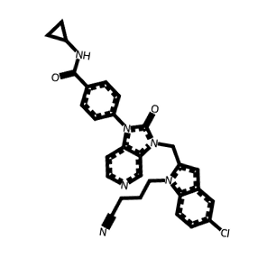 N#CCCCn1c(Cn2c(=O)n(-c3ccc(C(=O)NC4CC4)cc3)c3ccncc32)cc2cc(Cl)ccc21